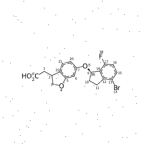 O=C(O)CC1COc2cc(O[C@@H]3CCc4c(Br)ccc(F)c43)ccc21